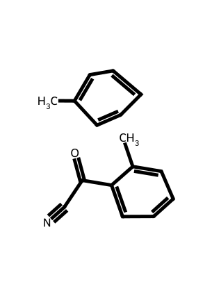 Cc1ccccc1.Cc1ccccc1C(=O)C#N